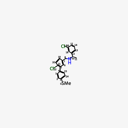 CSc1ccc(-c2cc(CN[C@H](C)c3cccc(Cl)c3)ccc2Cl)cc1